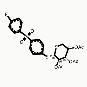 CC(=O)O[C@@H]1[C@@H](OC(C)=O)[C@H](Sc2ccc(S(=O)(=O)c3ccc(F)cc3)cc2)SC[C@H]1OC(C)=O